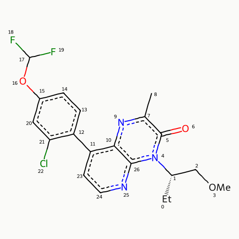 CC[C@@H](COC)n1c(=O)c(C)nc2c(-c3ccc(OC(F)F)cc3Cl)ccnc21